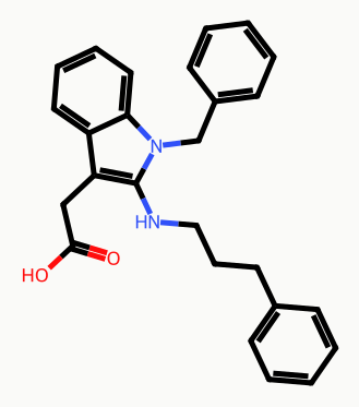 O=C(O)Cc1c(NCCCc2ccccc2)n(Cc2ccccc2)c2ccccc12